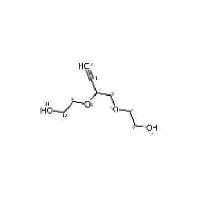 C#CC(COCCO)OCCO